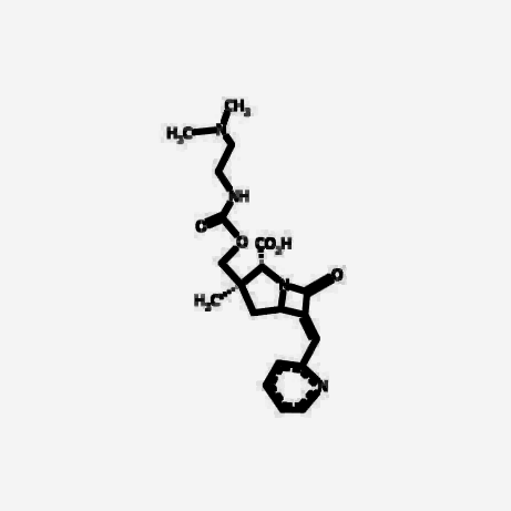 CN(C)CCNC(=O)OC[C@]1(C)CC2/C(=C\c3ccccn3)C(=O)N2[C@H]1C(=O)O